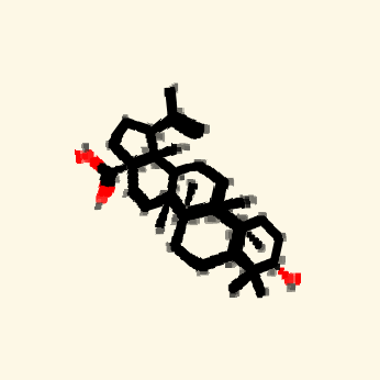 C=C(C)[C@@H]1CC[C@]2(C(=O)O)CC[C@]3(C)C(CC[C@@H]4[C@@]5(C)CC[C@H](O)C(C)(C)C5CC[C@]43C)[C@@H]12